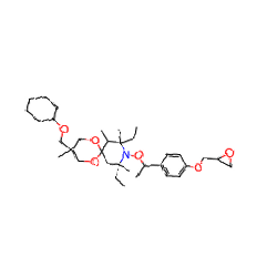 CCC1(C)CC2(OCC(C)(COC3CCCCC3)CO2)C(C)C(C)(CC)N1OC(C)c1ccc(OCC2CO2)cc1